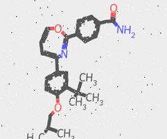 CC(C)COc1ccc(C2=CC=COC(c3ccc(C(N)=O)cc3)=N2)cc1C(C)(C)C